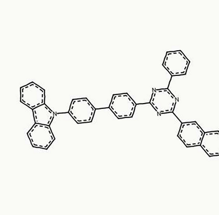 c1ccc(-c2nc(-c3ccc(-c4ccc(-n5c6ccccc6c6ccccc65)cc4)cc3)nc(-c3ccc4ccccc4c3)n2)cc1